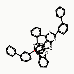 c1ccc(-c2cccc(-c3nc(-c4ccccc4-c4nc(-c5cccc(-c6ccccc6)c5)c5c(n4)oc4ccccc45)c4c(n3)oc3ccccc34)c2)cc1